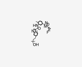 Cc1ccc(-c2noc([C@H]3C[C@@H]3F)n2)cc1NC(=O)c1cnc2cc(CCC(C)(C)CO)ccn12